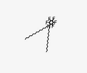 CCCCCCCCCCCCCCN(CCCCCCCCCCCCCC)c1c(F)c(F)c(F)c(F)c1F